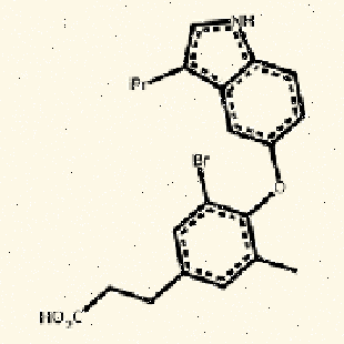 Cc1cc(CCC(=O)O)cc(Br)c1Oc1ccc2[nH]cc(C(C)C)c2c1